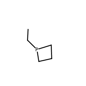 CCP1CCC1